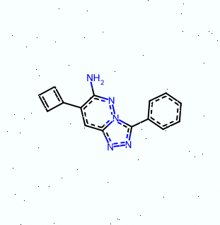 Nc1nn2c(-c3ccccc3)nnc2cc1C1=CC=C1